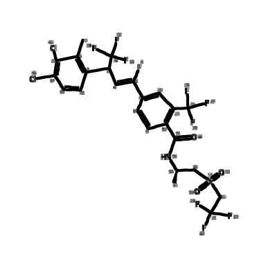 Cc1c(C(/C=C(\F)c2ccc(C(=O)N[C@H](C)CS(=O)(=O)CC(F)(F)F)c(C(F)(F)F)c2)C(F)(F)F)ccc(Cl)c1Cl